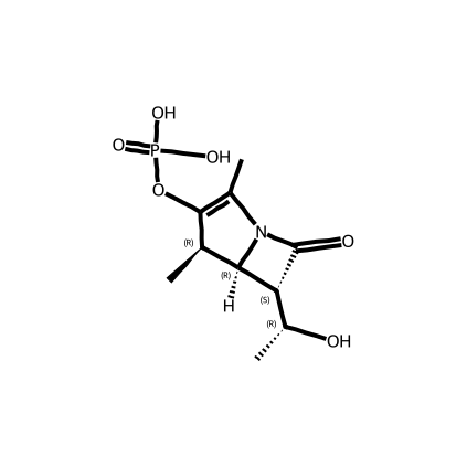 CC1=C(OP(=O)(O)O)[C@H](C)[C@@H]2[C@@H]([C@@H](C)O)C(=O)N12